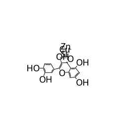 O=c1c(O)c(-c2ccc(O)c(O)c2)oc2cc(O)cc(O)c12.[Cu].[Si].[Zn]